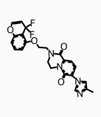 Cc1cn(-c2ccc3n(c2=O)CCN(CCOc2cccc4c2C(F)(F)C=CO4)C3=O)cn1